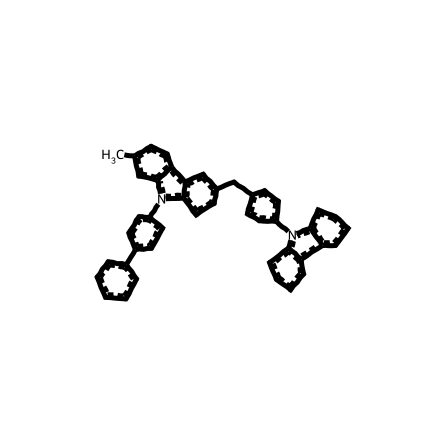 Cc1ccc2c3cc(Cc4ccc(-n5c6ccccc6c6ccccc65)cc4)ccc3n(-c3ccc(-c4ccccc4)cc3)c2c1